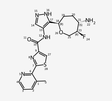 Cc1cccnc1-c1nc(C(=O)Nc2cn[nH]c2[C@H]2CC[C@H](N)[C@@H](F)CO2)cs1